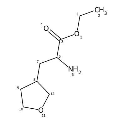 CCOC(=O)C(N)CC1CCOC1